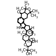 CC1(C)OC(C)(C)C2C(=O)c3ccc4[nH]c5c(c4c3CC21)C[C@@H]1CCC2[C@@]3(C=O)C(CC[C@]2(C)[C@@]51C)O[C@H](C(C)(C)O)C[C@H]3O